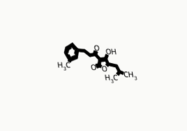 Cc1cccc(CCC(=O)C2=C(O)C(CC(C)C)OC2=O)c1